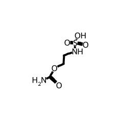 NC(=O)OCCNS(=O)(=O)O